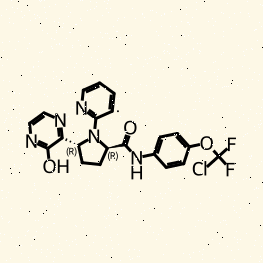 O=C(Nc1ccc(OC(F)(F)Cl)cc1)[C@H]1CC[C@H](c2nccnc2O)N1c1[c]cccn1